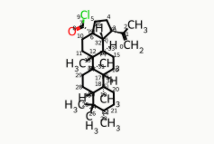 C=C(C)[C@@H]1CC[C@]2(C(=O)Cl)CC[C@]3(C)[C@H](CC[C@@H]4[C@@]5(C)CC[C@H](C)C(C)(C)[C@@H]5CC[C@]43C)[C@@H]12